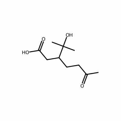 CC(=O)CCC(CC(=O)O)C(C)(C)O